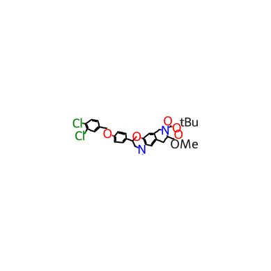 COC(=O)C1Cc2cc3c(cc2CN1C(=O)OC(C)(C)C)OC(c1ccc(OCc2ccc(Cl)c(Cl)c2)cc1)CN3C